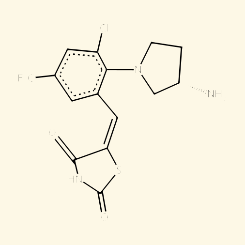 N[C@H]1CCN(c2c(Cl)cc(C(F)(F)F)cc2C=C2SC(=O)NC2=O)C1